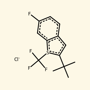 CC(C)(C)c1cc2ccc(F)cc2[s+]1C(F)(F)F.[Cl-]